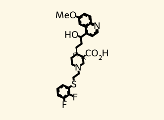 COc1ccc2nccc(C(O)CC[C@@H]3CCN(CCSc4cccc(F)c4F)C[C@@H]3C(=O)O)c2c1